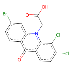 O=C(O)Cn1c2cc(Br)ccc2c(=O)c2ccc(Cl)c(Cl)c21